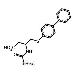 CCCCCCCC(=O)N[C@H](CSc1ccc(-c2ccccc2)cc1)CC(=O)O